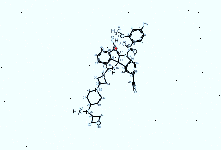 COc1cc(F)ccc1S(=O)(=O)N1C(=O)[C@@](NC(=O)N2CC(N3CCC(N(C)C4COC4)CC3)C2)(c2cccnc2OC)c2cc(C#N)ccc21